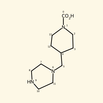 O=C(O)N1CCC(CN2CCNCC2)CC1